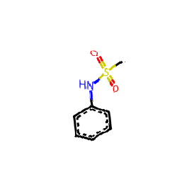 [CH2]S(=O)(=O)Nc1ccccc1